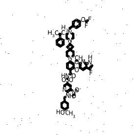 COc1nc2[nH]cc(F)c2cc1Oc1cc(N2CCC3(CC2)CC(N2CCN(Cc4ccc(OC(F)F)cc4)C[C@H]2c2ccccc2C(C)C)C3)ccc1C(=O)NS(=O)(=O)c1cnc(NCC2CCC(C)(O)CC2)c([N+](=O)[O-])c1